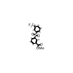 COC(=O)c1cccc(S(=O)(=O)c2cccc(C(F)(F)F)c2)c1